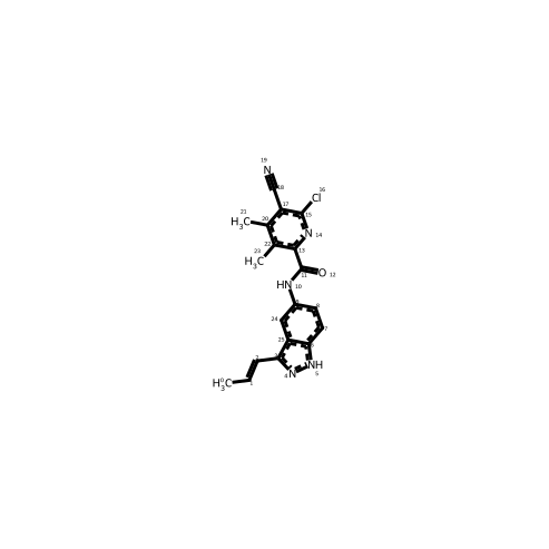 C/C=C/c1n[nH]c2ccc(NC(=O)c3nc(Cl)c(C#N)c(C)c3C)cc12